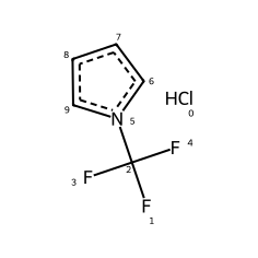 Cl.FC(F)(F)n1cccc1